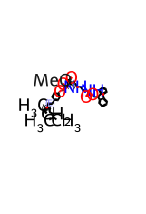 C=C[C@@](C)(/C=C/c1ccc(OCC(=O)N[C@@H](CCCCNC(=O)OCC2c3ccccc3-c3ccccc32)C(=O)OC)cc1)CCC=C(C)C